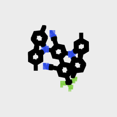 Cc1ccc2c3ccc(C)cc3n(-c3cc(-c4ccc(C(F)(F)F)cc4C#N)c(-n4c5cc(C)ccc5c5ccc(C)cc54)cc3C#N)c2c1